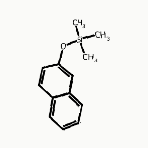 C[Si](C)(C)Oc1ccc2cc[c]cc2c1